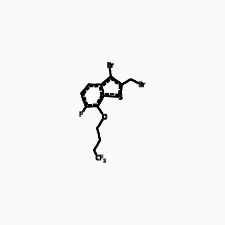 Fc1ccc2c(Br)c(CBr)sc2c1OCCCC(F)(F)F